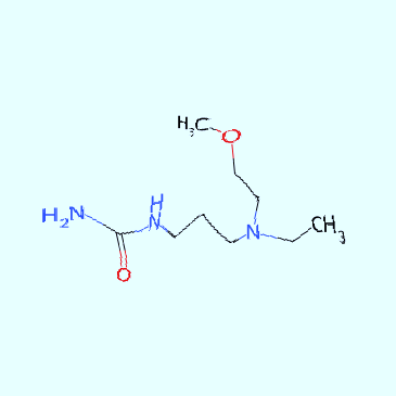 CCN(CCCNC(N)=O)CCOC